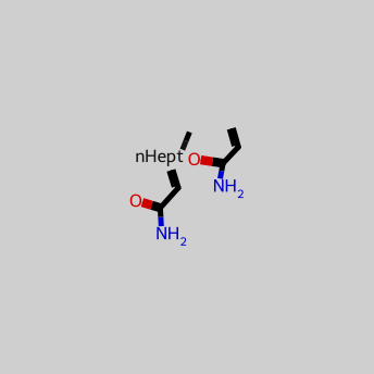 C=CC(N)=O.C=CC(N)=O.CCCCCCCC